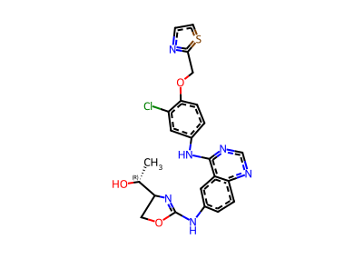 C[C@@H](O)C1COC(Nc2ccc3ncnc(Nc4ccc(OCc5nccs5)c(Cl)c4)c3c2)=N1